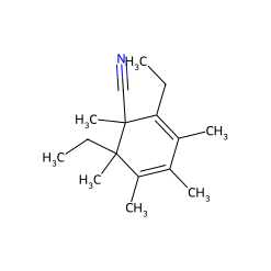 CCC1=C(C)C(C)=C(C)C(C)(CC)C1(C)C#N